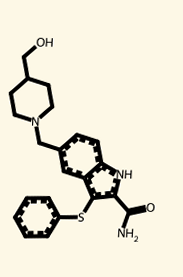 NC(=O)c1[nH]c2ccc(CN3CCC(CO)CC3)cc2c1Sc1ccccc1